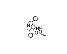 C#CCOC(=O)Nc1cc2c3c(c1)C(c1ccccc1)CCN3CCC2c1ccccc1